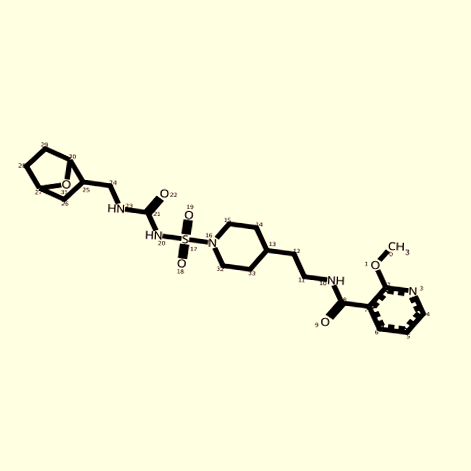 COc1ncccc1C(=O)NCCC1CCN(S(=O)(=O)NC(=O)NCC2CC3CCC2O3)CC1